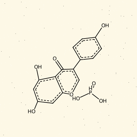 O=[PH](O)O.O=c1c(-c2ccc(O)cc2)coc2cc(O)cc(O)c12